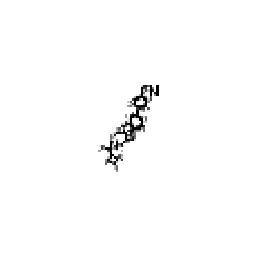 CC(C1CCC1)N1CCC2(CC1)Cc1cc(-c3ccc(C#N)cc3)ccc1O2